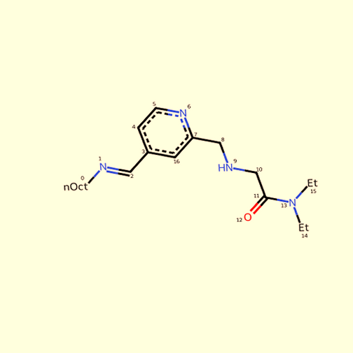 CCCCCCCCN=Cc1ccnc(CNCC(=O)N(CC)CC)c1